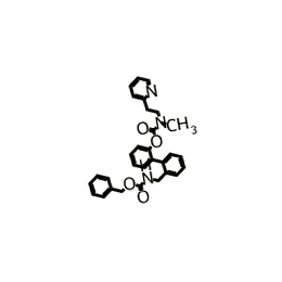 CN(CCc1ccccn1)C(=O)Oc1ccccc1-c1ccccc1CNC(=O)OCc1ccccc1